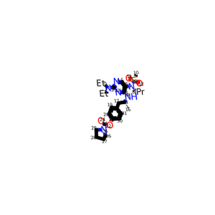 CCN(CC)c1ncc(N(C(C)C)S(C)(=O)=O)c(N[C@H](C)Cc2ccc(OC(=O)N3CCCC3)cc2)n1